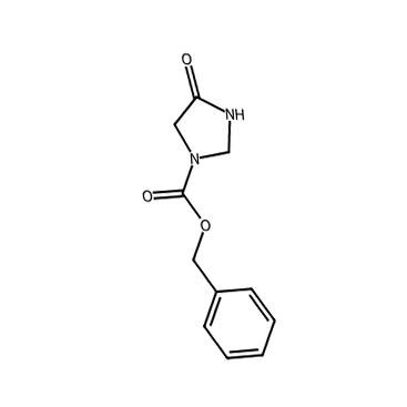 O=C1CN(C(=O)OCc2ccccc2)CN1